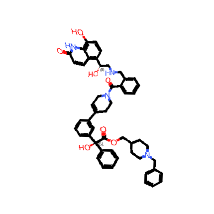 O=C(c1ccccc1CNC[C@H](O)c1ccc(O)c2[nH]c(=O)ccc12)N1CC=C(c2cccc([C@](O)(C(=O)OCC3CCN(Cc4ccccc4)CC3)c3ccccc3)c2)CC1